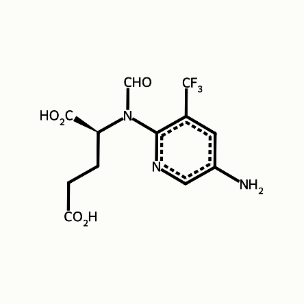 Nc1cnc(N(C=O)[C@@H](CCC(=O)O)C(=O)O)c(C(F)(F)F)c1